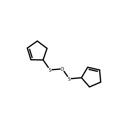 C1=CC(SOSC2C=CCC2)CC1